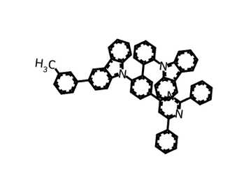 Cc1cccc(-c2ccc3c(c2)c2ccccc2n3-c2ccc(-c3cc(-c4ccccc4)nc(-c4ccccc4)n3)cc2-c2ccccc2-n2c3ccccc3c3ccccc32)c1